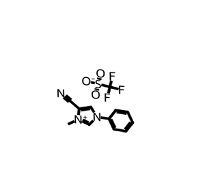 C[n+]1cn(-c2ccccc2)cc1C#N.O=S(=O)([O-])C(F)(F)F